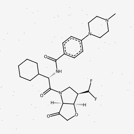 CN1CCN(c2ccc(C(=O)N[C@H](C(=O)N3C[C@@H](C(F)F)[C@H]4OCC(=O)[C@H]43)C3CCCCC3)cc2)CC1